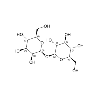 OC[C@H]1O[C@@H](O[C@@H]2O[C@H](CO)[C@@H](O)[C@H](O)[C@H]2O)[C@@H](O)[C@@H](O)[C@@H]1O